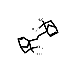 CC1(C(=O)O)CC2C=CC1(CCC13C=CC(C1)CC3(C)C(=O)O)C2